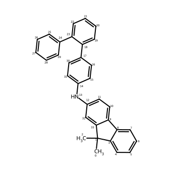 CC1(C)c2ccccc2-c2ccc(Nc3ccc(-c4ccccc4-c4ccccc4)cc3)cc21